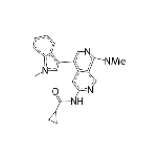 CNc1ncc(-c2cn(C)c3ccccc23)c2cc(NC(=O)C3CC3)ncc12